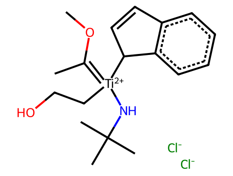 CO[C](C)=[Ti+2]([CH2]CO)([NH]C(C)(C)C)[CH]1C=Cc2ccccc21.[Cl-].[Cl-]